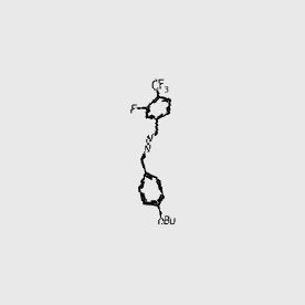 CCCCc1ccc(/C=N/N=C/c2ccc(C(F)(F)F)c(F)c2)cc1